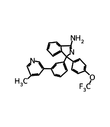 Cc1cncc(-c2cccc(C3(c4ccc(OC(F)(F)F)cc4)N=C(N)c4ccccc43)c2)c1